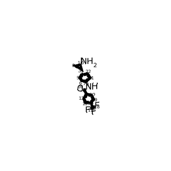 N[C@@H]1C[C@H]1c1ccc(NC(=O)c2ccc(C(F)(F)F)cc2)cc1